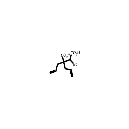 C=CCC(CC=C)(C(=O)O)C(CC)C(=O)O